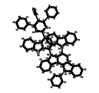 N#Cc1c(-c2ccccc2)nc(-c2ccc(-n3c4ccccc4c4c3c(-n3c5ccccc5c5ccccc53)cc3c5ccccc5n(-c5ccccc5)c34)c3oc4ccccc4c23)nc1-c1ccccc1